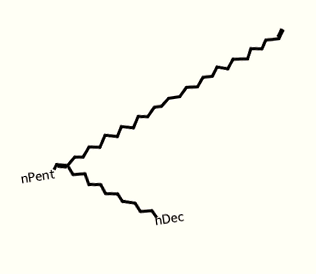 C=CCCCCCCCCCCCCCCCCCCCCCCCCCC(=CCCCCC)CCCCCCCCCCCCCCCCCCCC